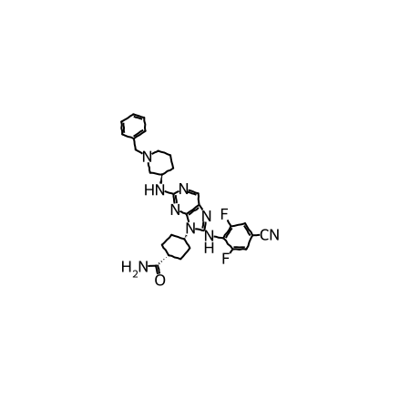 N#Cc1cc(F)c(Nc2nc3cnc(N[C@@H]4CCCN(Cc5ccccc5)C4)nc3n2[C@H]2CC[C@@H](C(N)=O)CC2)c(F)c1